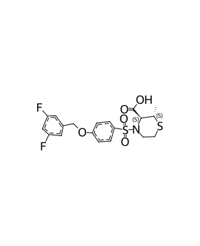 C[C@@H]1SCCN(S(=O)(=O)c2ccc(OCc3cc(F)cc(F)c3)cc2)[C@H]1C(=O)O